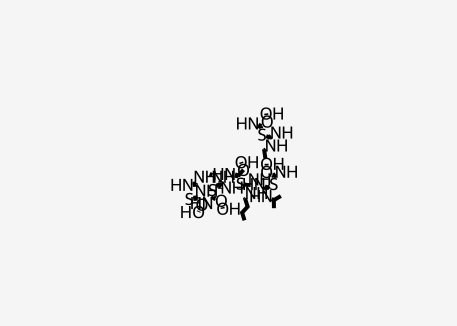 CC(C)NC(=N)SC(=N)OO.CCCCNC(=N)SC(=N)OO.CCNC(=N)SC(=N)OO.CNC(=N)SC(=N)OO.N=C(N)NC(=S)OO